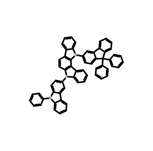 c1ccc(-n2c3ccccc3c3cc(-n4c5ccccc5c5c4ccc4c6ccccc6n(-c6ccc7c(c6)-c6ccccc6C7(c6ccccc6)c6ccccc6)c45)ccc32)cc1